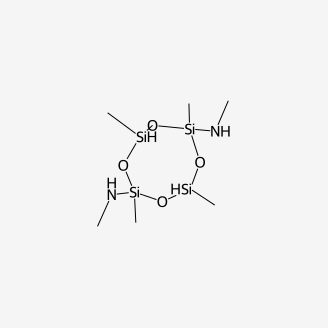 CN[Si]1(C)O[SiH](C)O[Si](C)(NC)O[SiH](C)O1